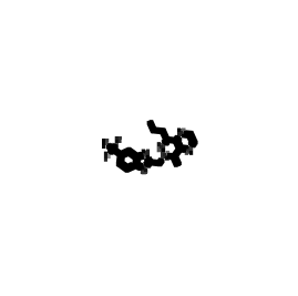 C=C1c2nccnc2C(CCC)=NN1Cc1nc2cc(C(F)(F)F)ccc2s1